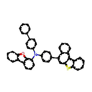 c1ccc(-c2ccc(N(c3ccc(-c4cc5sc6ccccc6c5c5ccccc45)cc3)c3cccc4c3oc3ccccc34)cc2)cc1